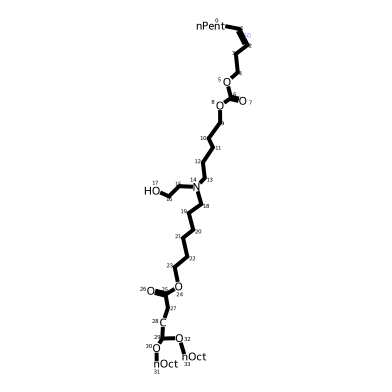 CCCCC/C=C\CCOC(=O)OCCCCCN(CCO)CCCCCCOC(=O)CCC(OCCCCCCCC)OCCCCCCCC